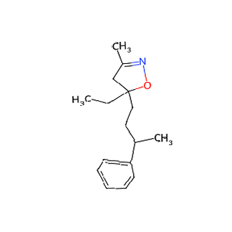 CCC1(CCC(C)c2ccccc2)CC(C)=NO1